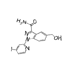 NC(=O)c1nn(-c2cc(I)ccn2)c2ccc(CO)cc12